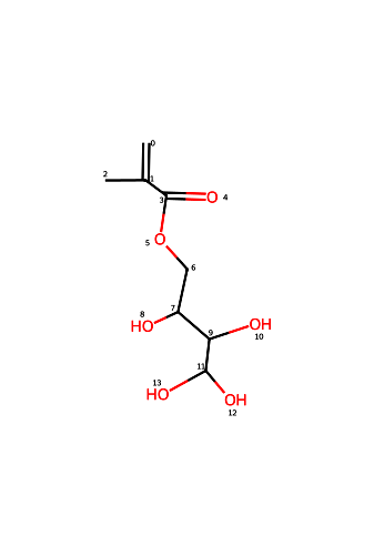 C=C(C)C(=O)OCC(O)C(O)C(O)O